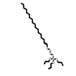 CCCCCCCCCCCCCCCCC=CSSSS[Si](OCCC)(OCCC)OCCC